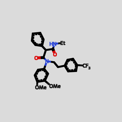 CCNC(=O)C(C(=O)N(CCc1ccc(C(F)(F)F)cc1)c1ccc(OC)c(OC)c1)c1ccccc1